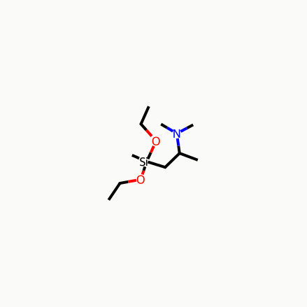 CCO[Si](C)(CC(C)N(C)C)OCC